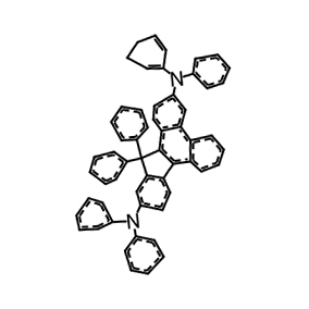 C1=CC(N(c2ccccc2)c2ccc3c4c(c5ccccc5c3c2)-c2ccc(N(c3ccccc3)c3ccccc3)cc2C4(c2ccccc2)c2ccccc2)=CCC1